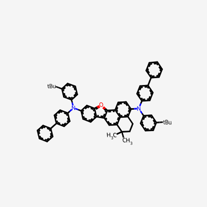 CC(C)(C)c1cccc(N(c2ccc(-c3ccccc3)cc2)c2ccc3c(c2)oc2c4ccc(N(c5ccc(-c6ccccc6)cc5)c5cccc(C(C)(C)C)c5)c5c4c(cc32)C(C)(C)CC5)c1